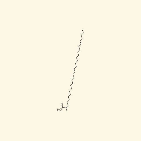 CCCCCCCCCCCCCCCCCCCCCCCCCCCCC(C)C(=O)O